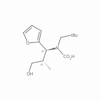 C[C@H](CO)[C@@H](c1ccco1)N(CC(C)(C)C)C(=O)O